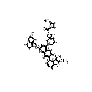 N#Cc1c(N)sc2c(F)ccc(-c3c(Cl)cc4c(N5CCCC6(CN(C(=O)N7CC[C@H]7C#N)C6)C5)nc(OC[C@@]56CCCN5C[C@H](F)C6)nc4c3F)c12